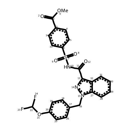 COC(=O)c1ccc(S(=O)(=O)NC(=O)c2nn(Cc3ccc(OC(F)F)cc3)c3ccccc23)cc1